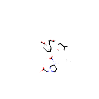 CO[C@@H]1[C@H](OC(=O)NC2CCN(CC(=O)[O-])C2)CC[C@]2(CO2)[C@H]1[C@@]1(C)O[C@@H]1CC=C(C)C.[Na+]